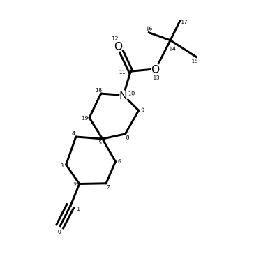 C#CC1CCC2(CC1)CCN(C(=O)OC(C)(C)C)CC2